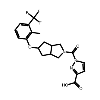 Cc1c(OC2CC3CN(C(=O)n4ccc(C(=O)O)n4)CC3C2)cccc1C(F)(F)F